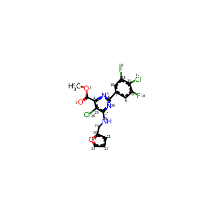 COC(=O)c1nc(-c2cc(F)c(Cl)c(F)c2)nc(NCc2ccco2)c1Cl